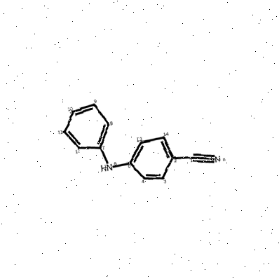 N#Cc1ccc(Nc2cc[c]cc2)cc1